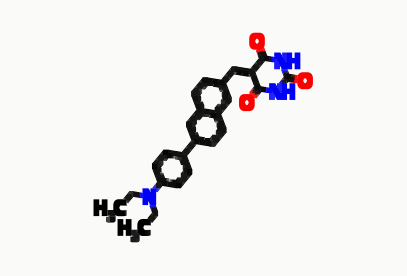 CCN(CC)c1ccc(-c2ccc3cc(C=C4C(=O)NC(=O)NC4=O)ccc3c2)cc1